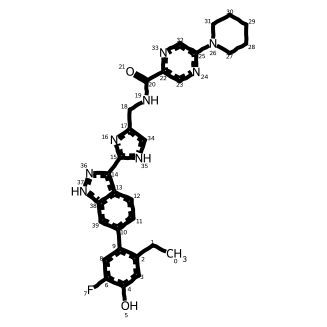 CCc1cc(O)c(F)cc1-c1ccc2c(-c3nc(CNC(=O)c4cnc(N5CCCCC5)cn4)c[nH]3)n[nH]c2c1